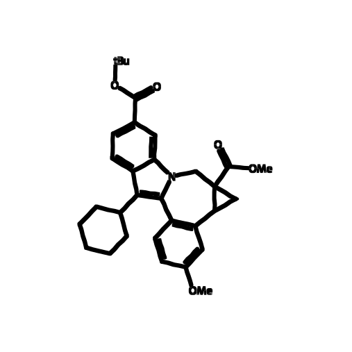 COC(=O)C12CC1c1cc(OC)ccc1-c1c(C3CCCCC3)c3ccc(C(=O)OC(C)(C)C)cc3n1C2